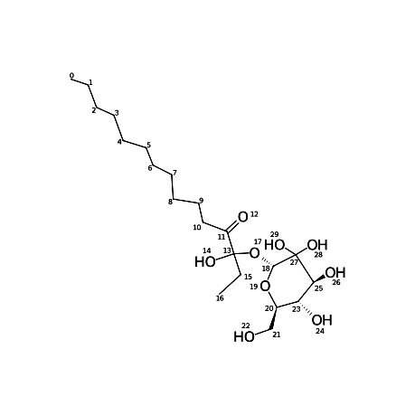 CCCCCCCCCCCC(=O)C(O)(CC)O[C@H]1O[C@H](CO)[C@@H](O)[C@H](O)C1(O)O